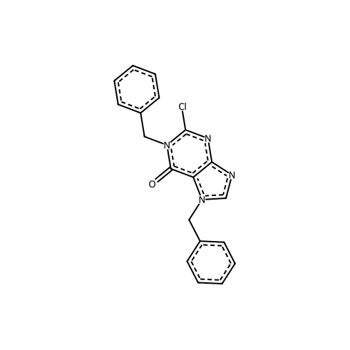 O=c1c2c(ncn2Cc2ccccc2)nc(Cl)n1Cc1ccccc1